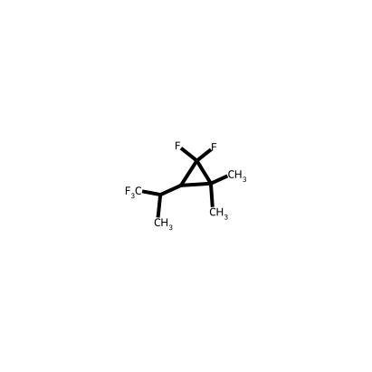 CC(C1C(C)(C)C1(F)F)C(F)(F)F